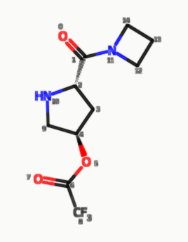 O=C([C@@H]1C[C@@H](OC(=O)C(F)(F)F)CN1)N1CCC1